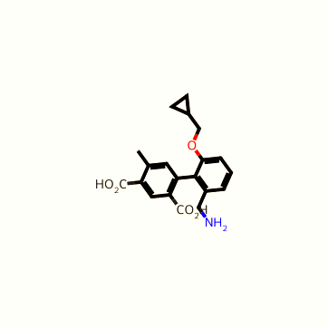 Cc1cc(-c2c(CN)cccc2OCC2CC2)c(C(=O)O)cc1C(=O)O